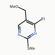 CCc1nc(SC)ncc1COC